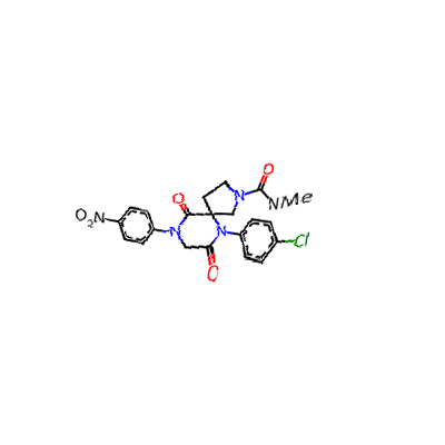 CNC(=O)N1CCC2(C1)C(=O)N(c1ccc([N+](=O)[O-])cc1)CC(=O)N2c1ccc(Cl)cc1